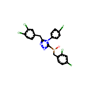 [O-][S+](Cc1ccc(F)cc1Cl)c1nnc(Cc2ccc(Cl)c(Cl)c2)n1-c1ccc(F)cc1